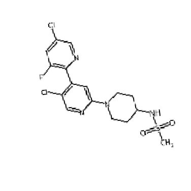 CS(=O)(=O)NC1CCN(c2cc(-c3ncc(Cl)cc3F)c(Cl)cn2)CC1